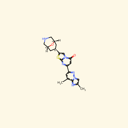 Cc1cn2nc(-c3cc(=O)n4cc([C@@H]5C[C@H]6CNC[C@@H](C5)O6)sc4n3)cc(C)c2n1